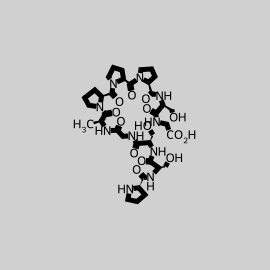 C[C@H](NC(=O)CNC(=O)[C@H](CO)NC(=O)[C@H](CO)NC(=O)[C@@H]1CCCN1)C(=O)N1CCC[C@H]1C(=O)N1CCC[C@H]1C(=O)N1CCC[C@H]1C(=O)N[C@@H](CO)C(=O)NCC(=O)O